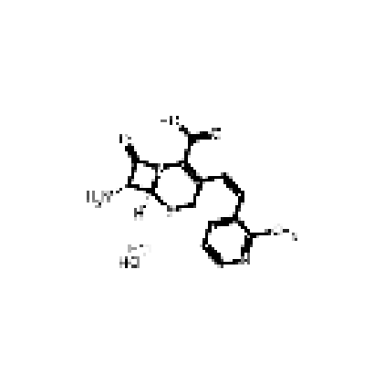 Cc1ncccc1/C=C\C1=C(C(=O)O)N2C(=O)[C@@H](N)[C@@H]2SC1.Cl.Cl